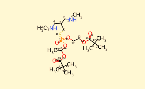 CNCC(CNC)CSP(=O)(OCCOC(=O)C(C)(C)C)OC(C)OC(=O)C(C)(C)C